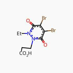 CCn1c(=O)c(Br)c(Br)c(=O)n1CCC(=O)O